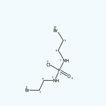 O=P(Cl)(NCCBr)NCCBr